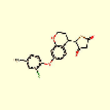 Cc1ccc(Oc2ccc3c(c2)OCCC3C2SC(=O)CC2=O)c(Cl)c1